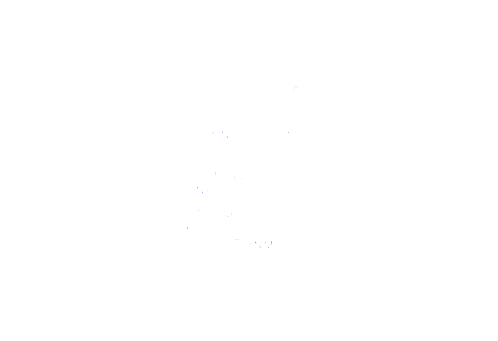 CNc1cccc(NC(=O)CN(C)Cc2ccccc2)c1